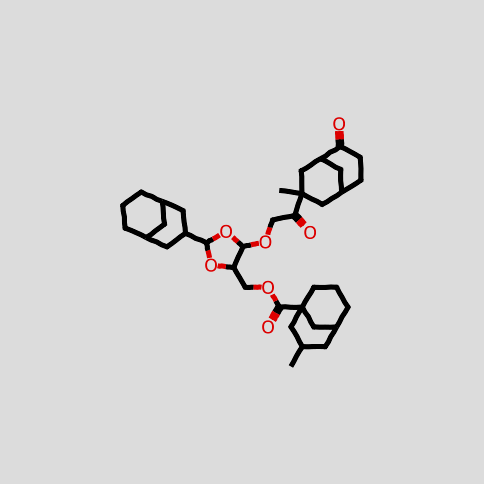 CC1CC2CCCC(C(=O)OCC3OC(C4CC5CCCC(C5)C4)OC3OCC(=O)C3(C)CC4CCC(=O)C(C4)C3)(C1)C2